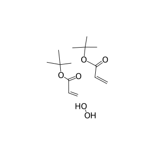 C=CC(=O)OC(C)(C)C.C=CC(=O)OC(C)(C)C.OO